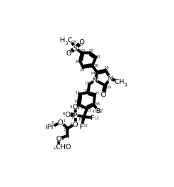 CC(C)OC(COC=O)OP(=O)(O)C(F)(F)c1ccc(Cn2c(-c3ccc(S(C)(=O)=O)cc3)cn(C)c2=O)cc1Br